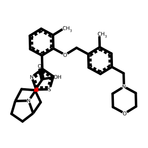 Cc1cc(CN2CCOCC2)ccc1COc1c(C)cccc1-c1csc(N2C3CCC2CC(C(=O)O)C3)n1